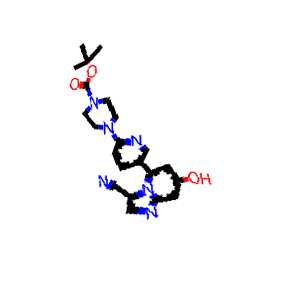 CC(C)(C)OC(=O)N1CCN(c2ccc(-c3cc(O)cc4ncc(C#N)n34)cn2)CC1